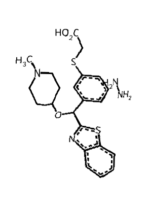 CN1CCC(OC(c2cccc(SCC(=O)O)c2)c2nc3ccccc3s2)CC1.NN